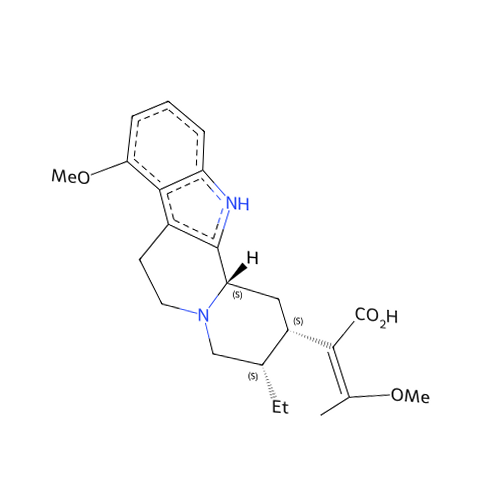 CC[C@@H]1CN2CCc3c([nH]c4cccc(OC)c34)[C@@H]2C[C@@H]1C(C(=O)O)=C(C)OC